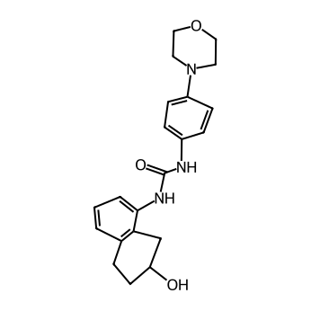 O=C(Nc1ccc(N2CCOCC2)cc1)Nc1cccc2c1CC(O)CC2